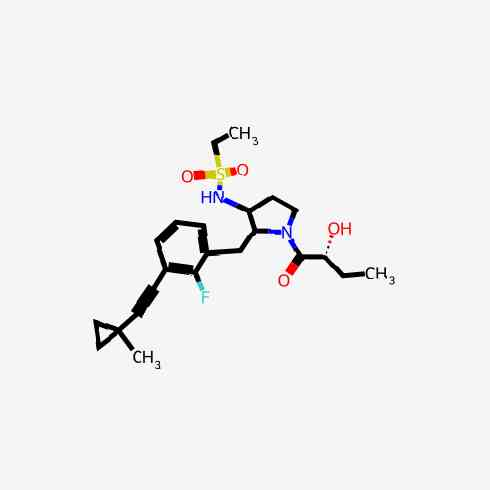 CC[C@@H](O)C(=O)N1CCC(NS(=O)(=O)CC)C1Cc1cccc(C#CC2(C)CC2)c1F